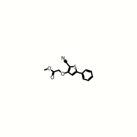 COC(=O)COc1cc(-c2ccccc2)sc1C#N